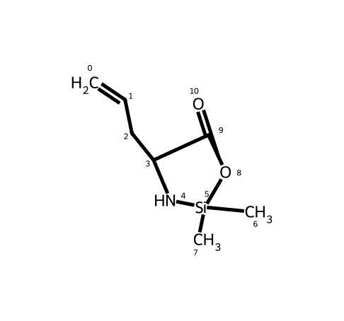 C=CCC1N[Si](C)(C)OC1=O